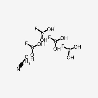 CC#N.OB(O)F.OB(O)F.OB(O)F.OB(O)F